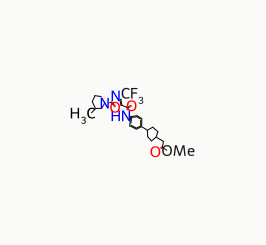 COC(=O)CC1CCC(c2ccc(NC(=O)c3oc(N4CCCC(C)C4)nc3C(F)(F)F)cc2)CC1